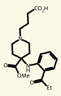 CCC(=O)c1ccccc1NC1(C(=O)OC)CCN(CCCC(=O)O)CC1